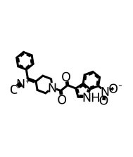 [C-]#[N+]C(=C1CCN(C(=O)C(=O)c2c[nH]c3c([N+](=O)[O-])cccc23)CC1)c1ccccc1